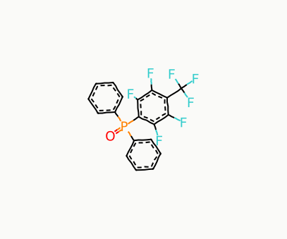 O=P(c1ccccc1)(c1ccccc1)c1c(F)c(F)c(C(F)(F)F)c(F)c1F